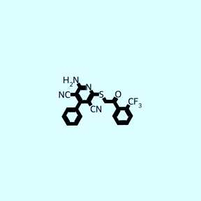 N#Cc1c(N)nc(SCC(=O)c2ccccc2C(F)(F)F)c(C#N)c1-c1ccccc1